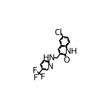 O=c1[nH]c2ccc(Cl)cc2cc1CNc1ccc(C(F)(F)F)cn1